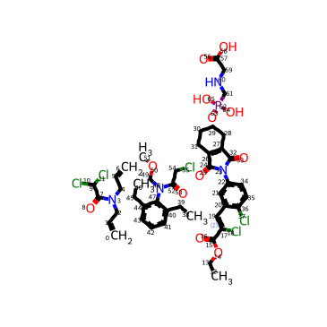 C=CCN(CC=C)C(=O)C(Cl)Cl.CCOC(=O)/C(Cl)=C/c1cc(N2C(=O)C3=C(CCCC3)C2=O)ccc1Cl.CCc1cccc(CC)c1N(COC)C(=O)CCl.O=C(O)CNCP(=O)(O)O